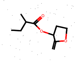 C=C1OCCC1OC(=O)C(C)CC